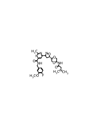 COc1cc(CNC(=O)c2cc(C3=NOC([C@@H]4CO[C@@H](NC(=O)CN(C)C)CO4)C3)nc(C)n2)ccc1F